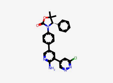 CC1(C)OC(=O)N(c2ccc(-c3cnc(N)c(-c4cnnc(Cl)c4)c3)cc2)[C@H]1c1ccccc1